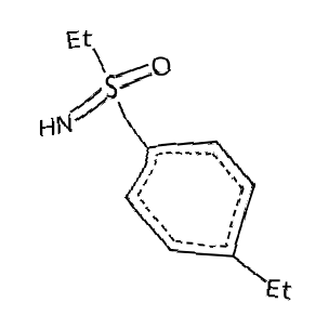 CCc1ccc(S(=N)(=O)CC)cc1